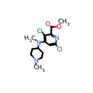 COC(=O)c1nc(Cl)cc(N(C)C2CCN(C)CC2)c1Cl